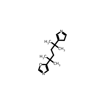 CC(C)(CCC(C)(C)c1cnco1)C1=CN=CC1